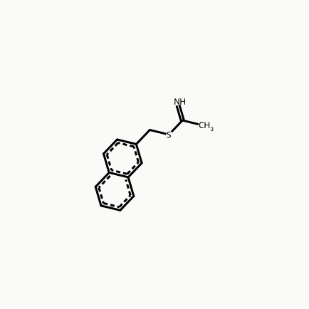 CC(=N)SCc1ccc2ccccc2c1